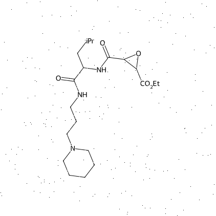 CCOC(=O)C1OC1C(=O)NC(CC(C)C)C(=O)NCCCN1CCCCC1